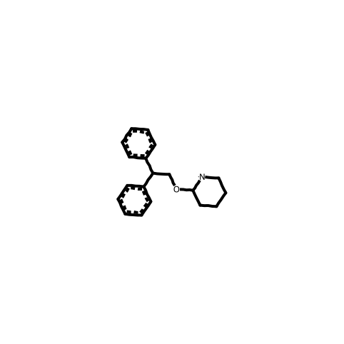 c1ccc(C(COC2CCCC[N]2)c2ccccc2)cc1